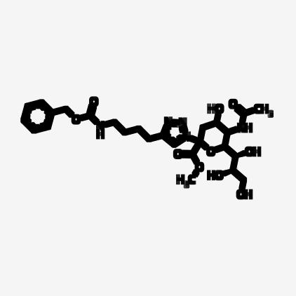 COC(=O)C1(n2cc(CCCCNC(=O)OCc3ccccc3)nn2)CC(O)C(NC(C)=O)C([C@@H](O)[C@H](O)CO)O1